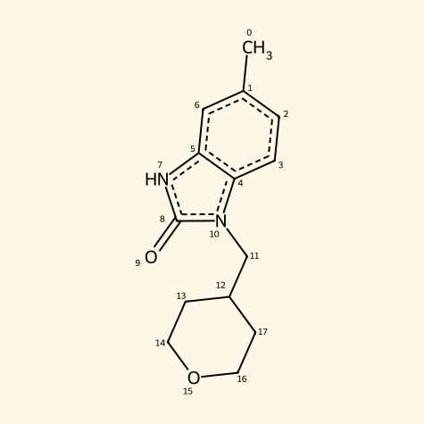 Cc1ccc2c(c1)[nH]c(=O)n2CC1CCOCC1